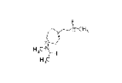 CC(I)N(C)[C@@H]1CC=C(CC[C@H](C)F)CCC1